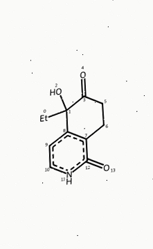 CCC1(O)C(=O)CCc2c1cc[nH]c2=O